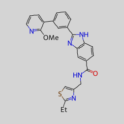 CCc1nc(CNC(=O)c2ccc3[nH]c(-c4cccc(-c5cccnc5OC)c4)nc3c2)cs1